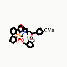 COc1ccc(C(=O)CC2(C)CC(=O)N2CP(C(=O)OCc2ccccc2[N+](=O)[O-])(c2ccccc2)(c2ccccc2)c2ccccc2)cc1